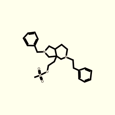 CS(=O)(=O)OCCC12CN(CCc3ccccc3)CCC1CN(Cc1ccccc1)C2